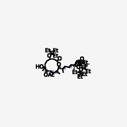 CCC(O[Si](CC)(CC)CC)[C@@H](C)[C@H]1O[C@@H]1C[C@](C)(/C=C/C=C(\C)[C@H]1OC(=O)CC(O[Si](CC)(CC)CC)CC[C@@](C)(O)[C@@H](OC(C)=O)/C=C/[C@@H]1C)O[Si](CC)(CC)CC